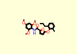 CCCc1cccc(C)c1Oc1ccc(C(=O)Nc2c(OC)cc(OC)cc2OC)o1